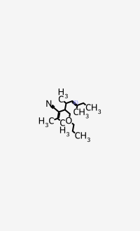 CCCOCC(C(C#N)=C(C)C)C(C)/C=C(\C)CC